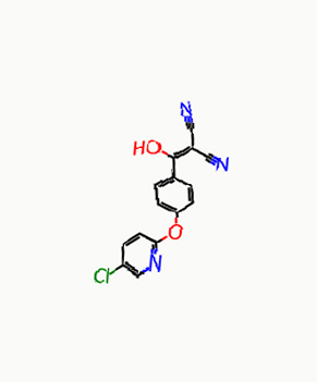 N#CC(C#N)=C(O)c1ccc(Oc2ccc(Cl)cn2)cc1